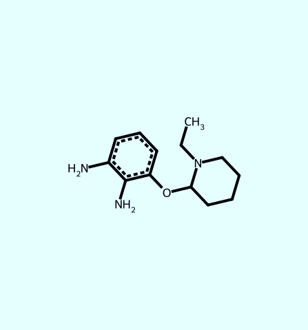 CCN1CCCCC1Oc1cccc(N)c1N